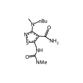 CCCCN(C)c1nsc(NC(=O)NC)c1C(N)=O